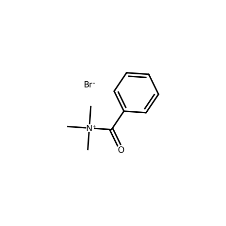 C[N+](C)(C)C(=O)c1ccccc1.[Br-]